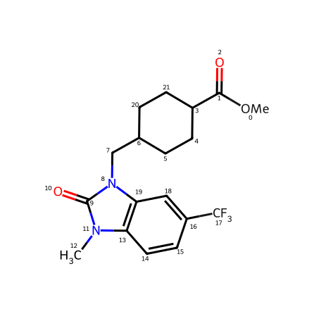 COC(=O)C1CCC(Cn2c(=O)n(C)c3ccc(C(F)(F)F)cc32)CC1